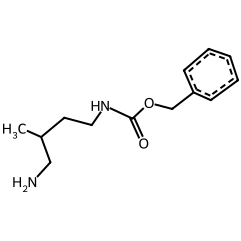 CC(CN)CCNC(=O)OCc1ccccc1